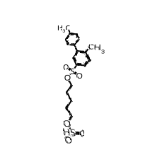 Cc1ccc(-c2cc(S(=O)(=O)OCCCCCO[SH](=O)=O)ccc2C)cc1